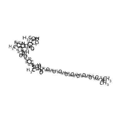 CC[C@@]1(O)C(=O)OCc2c1cc1n(c2=O)Cc2c-1nc1cc(F)c(C)c3c1c2[C@@H](NC(=O)OCc1ccc(SSC(C)(C)CNC(=O)CCOCCOCCOCCOCCOCCOCCOCCOCCOCCC(C)C)cc1)CC3